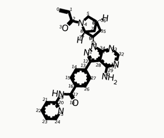 C=CC(=O)N1C[C@@H]2C[C@@H]1[C@@H](n1nc(-c3ccc(C(=O)Nc4ccccn4)cc3)c3c(N)ncnc31)C2